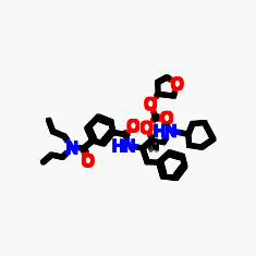 CCCN(CCC)C(=O)c1cccc(C(=O)NC(Cc2ccccc2)[C@H](CNC2CCCCC2)OC(=O)OC2CCOC2)c1